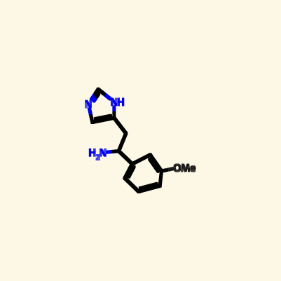 COc1cccc(C(N)Cc2cnc[nH]2)c1